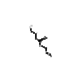 C=CCCC(=O)CCCI